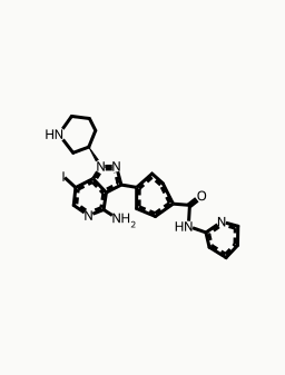 Nc1ncc(I)c2c1c(-c1ccc(C(=O)Nc3ccccn3)cc1)nn2[C@@H]1CCCNC1